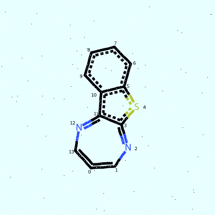 C1=CN=c2sc3ccccc3c2=NC=1